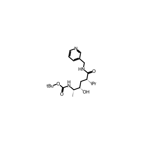 CC(C)[C@H](C[C@H](O)[C@H](C)NC(=O)OC(C)(C)C)C(=O)NCc1cccnc1